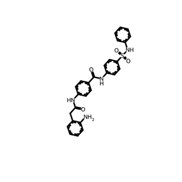 Nc1ccccc1CC(=O)Nc1ccc(C(=O)Nc2ccc(S(=O)(=O)Nc3ccccc3)cc2)cc1